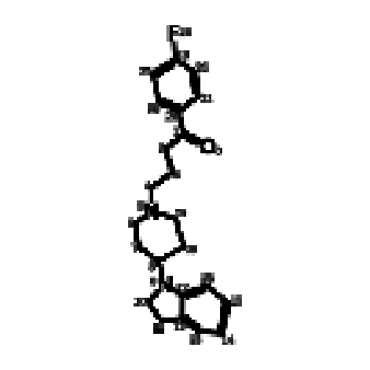 O=C(CCCN1CCC(N2CCc3ccccc32)CC1)c1ccc(F)cc1